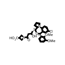 COc1cccc([C@H]2O[C@H](CC(O)CC(=O)N3CC(C(=O)O)C3)c3cccn3-c3ccc(Cl)cc32)c1OC